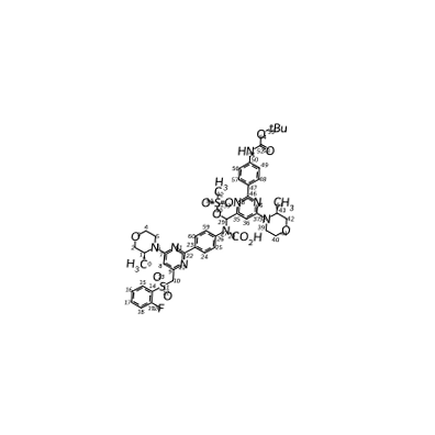 C[C@H]1COCCN1c1cc(CS(=O)(=O)c2ccccc2F)nc(-c2ccc(N(C(=O)O)C(OS(C)(=O)=O)c3cc(N4CCOC[C@@H]4C)nc(-c4ccc(NC(=O)OC(C)(C)C)cc4)n3)cc2)n1